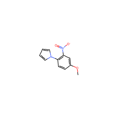 COc1ccc(-n2cccc2)c([N+](=O)[O-])c1